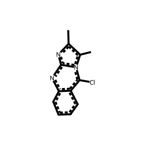 Cc1nc2nc3ccccc3c(Cl)n2c1C